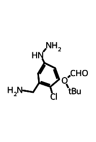 CC(C)(C)OC=O.NCc1cc(NN)ccc1Cl